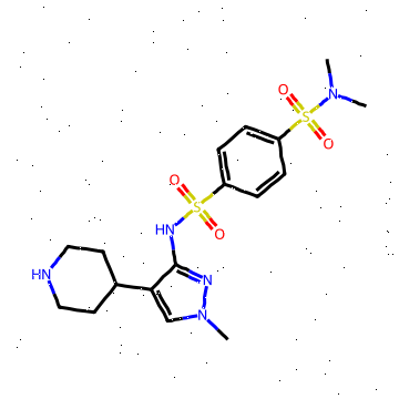 CN(C)S(=O)(=O)c1ccc(S(=O)(=O)Nc2nn(C)cc2C2CCNCC2)cc1